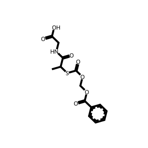 CC(SC(=O)OCOC(=O)c1ccccc1)C(=O)NCC(=O)O